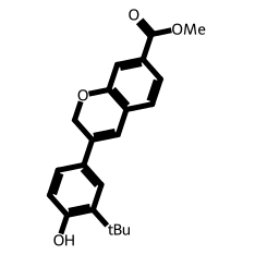 COC(=O)c1ccc2c(c1)OCC(c1ccc(O)c(C(C)(C)C)c1)=C2